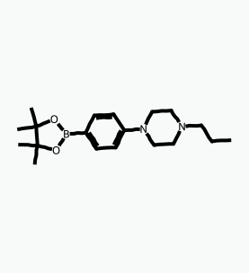 CCCN1CCN(c2ccc(B3OC(C)(C)C(C)(C)O3)cc2)CC1